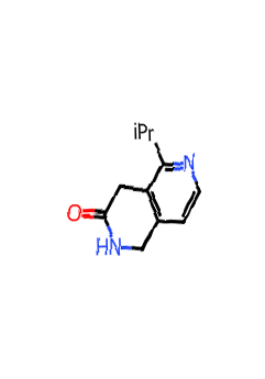 CC(C)c1nccc2c1CC(=O)NC2